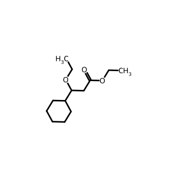 CCOC(=O)CC(OCC)C1CCCCC1